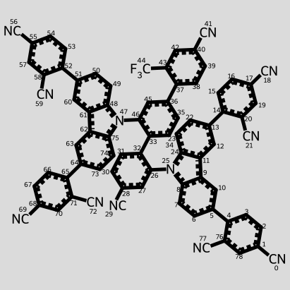 N#Cc1ccc(-c2ccc3c(c2)c2cc(-c4ccc(C#N)cc4C#N)ccc2n3-c2cc(C#N)ccc2-c2ccc(-c3ccc(C#N)cc3C(F)(F)F)cc2-n2c3ccc(-c4ccc(C#N)cc4C#N)cc3c3cc(-c4ccc(C#N)cc4C#N)ccc32)c(C#N)c1